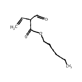 C=CC([C]=O)C(=O)OCCCCC